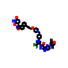 O=C1CC[C@@H](c2noc3ccc4c(C#CCOC5CCN(CC6CCC(n7cc(NC(=O)c8cnn9ccc(N%10C[C@H]%11C[C@@H]%10CO%11)nc89)c(C(F)F)n7)CC6)CC5)cccc4c23)C(=O)N1